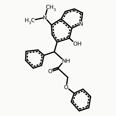 CN(C)c1cc(C(NC(=O)COc2ccccc2)c2ccccc2)c(O)c2ncccc12